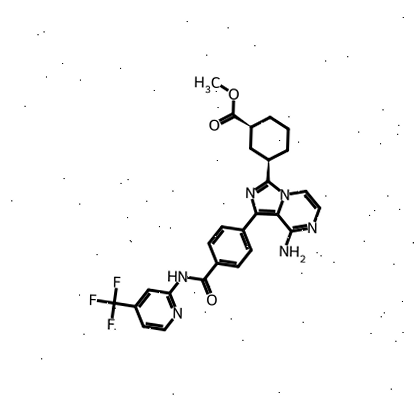 COC(=O)[C@H]1CCC[C@@H](c2nc(-c3ccc(C(=O)Nc4cc(C(F)(F)F)ccn4)cc3)c3c(N)nccn23)C1